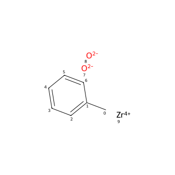 Cc1ccccc1.[O-2].[O-2].[Zr+4]